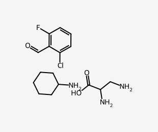 NC1CCCCC1.NCC(N)C(=O)O.O=Cc1c(F)cccc1Cl